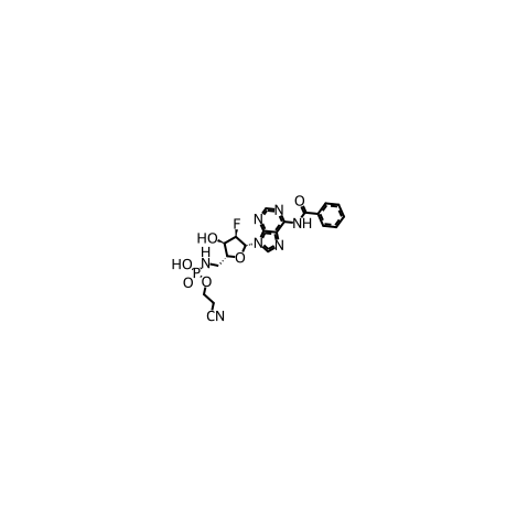 N#CCCOP(=O)(O)NC[C@H]1O[C@@H](n2cnc3c(NC(=O)c4ccccc4)ncnc32)[C@H](F)[C@@H]1O